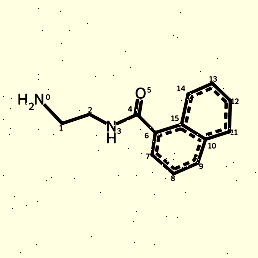 NCCNC(=O)c1cccc2ccccc12